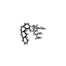 CCCCP(CCCC)[O][Ti]([OH])([O]c1cccc2ccc3cc4ccccc4cc3c12)[O]P(CCCC)CCCC